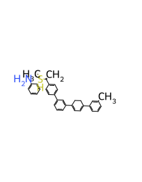 C=C(c1ccc(-c2cccc(C3=CC=C(c4cccc(C)c4)CC3)c2)cc1)[SH](C)c1ccccc1N